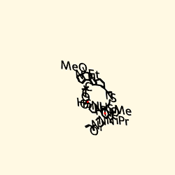 C=CC(=O)N1CCN(C(=O)N(C)C(C(=O)N[C@@]2(SC)Cc3nc(cs3)-c3ccc4c(c3)c(c(-c3cccnc3[C@H](C)OC)n4CC)CC(C)(C)COC(=O)[C@@]3(S)CCCN(N3)C2=O)C(C)C)C[C@H]1C